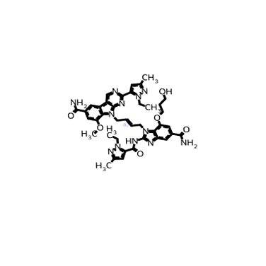 CCn1nc(C)cc1C(=O)Nc1nc2cc(C(N)=O)cc(OCCCO)c2n1C/C=C/Cn1c2nc(-c3cc(C)nn3CC)ncc2c2cc(C(N)=O)cc(OC)c21